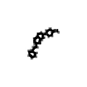 CN1CCN(c2ccc3cnc(/C=C/c4ccccc4)nc3c2)CC1